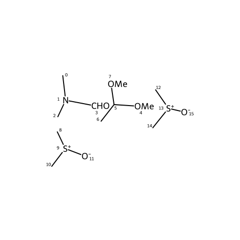 CN(C)C=O.COC(C)OC.C[S+](C)[O-].C[S+](C)[O-]